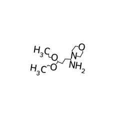 CCOC(CCC(N)N1CCOCC1)OCC